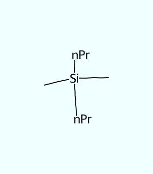 [CH2]CC[Si](C)(C)CCC